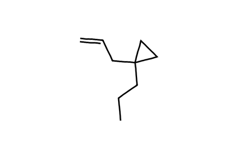 C=CCC1(CCC)CC1